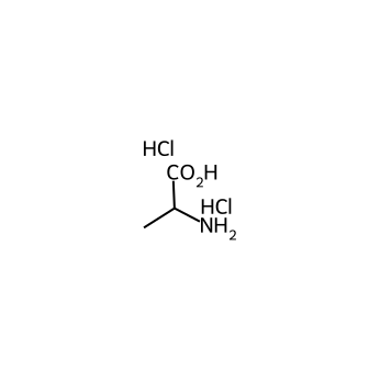 CC(N)C(=O)O.Cl.Cl